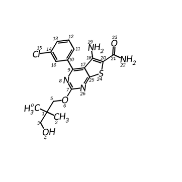 CC(C)(CO)COc1nc(-c2cccc(Cl)c2)c2c(N)c(C(N)=O)sc2n1